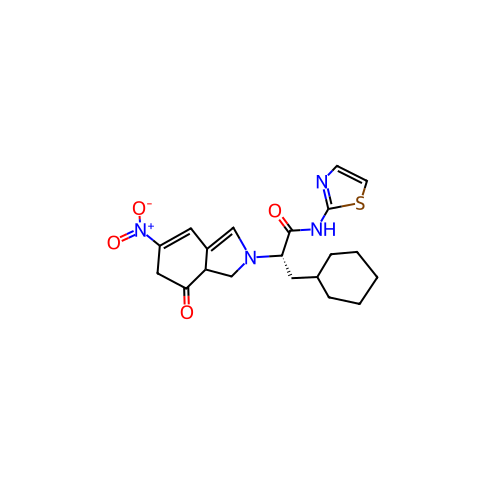 O=C1CC([N+](=O)[O-])=CC2=CN([C@@H](CC3CCCCC3)C(=O)Nc3nccs3)CC12